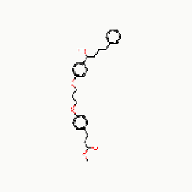 COC(=O)CCc1ccc(OCCCOc2ccc(C(O)CCCc3ccccc3)cc2)cc1